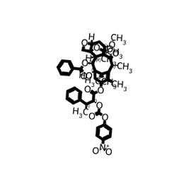 CO[C@H]1C[C@H]2OC[C@@]2(OC(C)=O)[C@H]2[C@H](OC(=O)c3ccccc3)[C@]3(O)CC(OC(=O)[C@H](OC(=O)Oc4ccc([N+](=O)[O-])cc4)[C@@H](C)c4ccccc4)C(C)=C([C@@H](C)C(=O)[C@]12C)C3(C)C